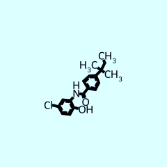 CCC(C)(C)c1ccc(C(=O)Nc2cc(Cl)ccc2O)cc1